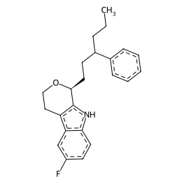 CCCC(CC[C@@H]1OCCc2c1[nH]c1ccc(F)cc21)c1ccccc1